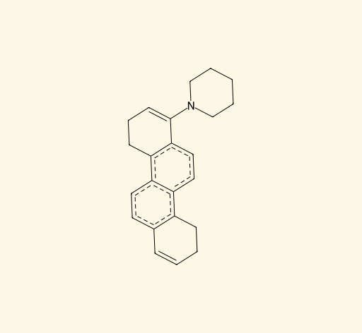 C1=Cc2ccc3c4c(ccc3c2CC1)C(N1CCCCC1)=CCC4